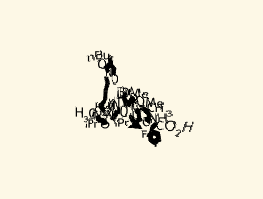 CCCCSC1CC(=O)N(CCCCCC(=O)N(C)C(C(=O)N[C@H](C(=O)N(C)[C@H](C(CC(=O)N2CC3(CC3)C[C@H]2C(OC)[C@@H](C)C(=O)N[C@@H](Cc2ccccc2F)C(=O)O)OC)[C@@H](C)CC)C(C)C)C(C)C)C1=O